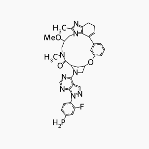 COC1CN(C)C(=O)C2CC(CN2c2ncnc3c2cnn3-c2ccc(P)cc2F)Oc2cccc(c2)C2=CCCc3nc(C)n(c32)C1